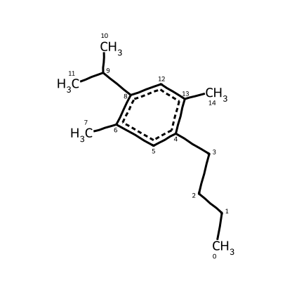 CCCCc1cc(C)c(C(C)C)cc1C